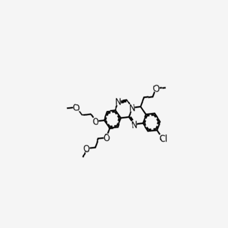 COCCOc1cc2c(cc1OCCOC)C1=Nc3cc(Cl)ccc3C(CCOC)N1C=N2